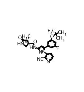 C[C@H]1C(=O)NC[C@@H]1C(=O)Nc1cc(-c2cc(F)cc(OC(C)(C)C(F)(F)F)c2)n(-c2cccnc2C#N)n1